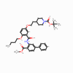 CCCCOc1ccc(OCCC2CCN(C(=O)OC(C)(C)C)CC2)cc1C(=O)Nc1cc(-c2ccccc2)ccc1C(=O)OC